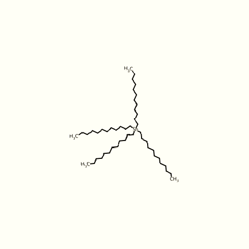 CCCCCCCCCCC[CH2][Sn]([CH2]CCCCCCCCCCC)([CH2]CCCCCCCCCCC)[CH2]CCCCCCCCCCC